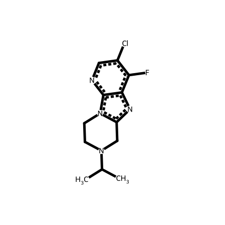 CC(C)N1CCn2c(nc3c(F)c(Cl)cnc32)C1